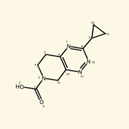 O=C(O)N1CCc2nc(C3CC3)nnc2C1